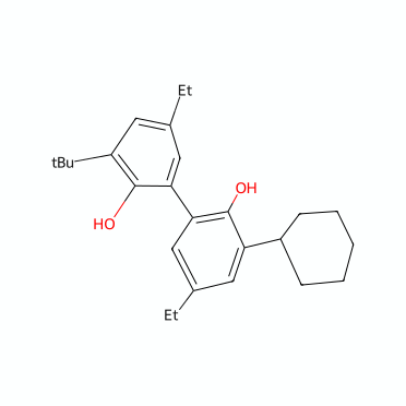 CCc1cc(-c2cc(CC)cc(C(C)(C)C)c2O)c(O)c(C2CCCCC2)c1